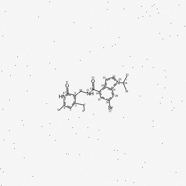 CCc1cc(C)[nH]c(=O)c1CNC(=O)c1cc(Br)cc2c1ccn2C(C)C